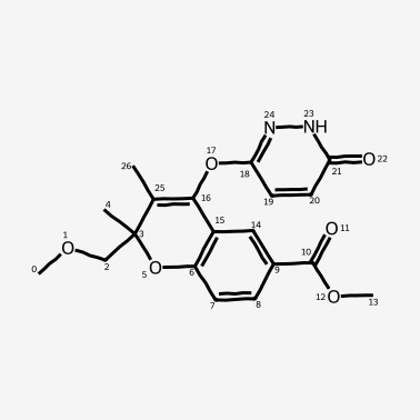 COCC1(C)Oc2ccc(C(=O)OC)cc2C(Oc2ccc(=O)[nH]n2)=C1C